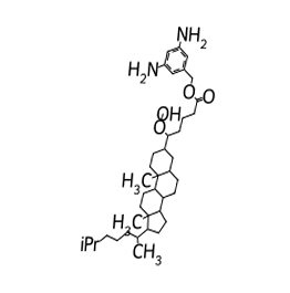 CC(C)CCCC(C)C1CCC2C3CCC4CC(C(CCCC(=O)OCc5cc(N)cc(N)c5)OO)CCC4(C)C3CCC12C